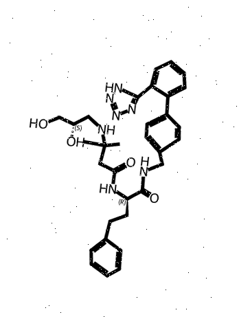 CC(C)(CC(=O)N[C@H](CCc1ccccc1)C(=O)NCc1ccc(-c2ccccc2-c2nnn[nH]2)cc1)NC[C@H](O)CO